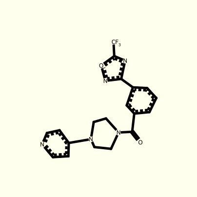 O=C(c1cccc(-c2noc(C(F)(F)F)n2)c1)N1CCN(c2ccncc2)CC1